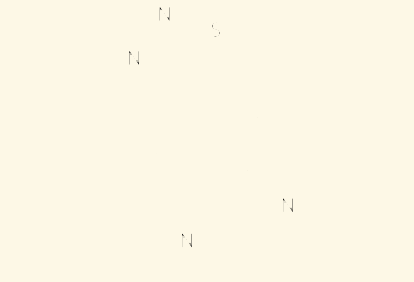 Cc1c2nccnc2c(C)c2snnc12